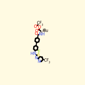 CC[C@H](C)[C@H](NC(=O)c1ccc(-c2ccc(Nc3nc4ncc(C(F)(F)F)cc4s3)c(F)c2)cc1)C(=O)OC(=O)C(F)(F)F